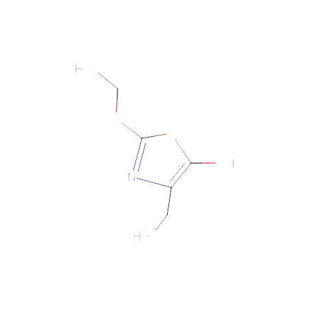 CCOc1nc(CC)c(O)s1